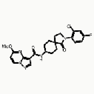 COc1ccn2ncc(C(=O)NC3CCC4(CC3)CCN(c3ccc(F)cc3Cl)C4=O)c2n1